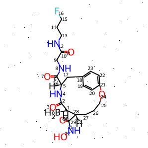 B[C@H]1C(=O)N[C@H](C(=O)NCC(=O)NCCCF)Cc2ccc(cc2)OCCC[C@@H]1C(=O)NO